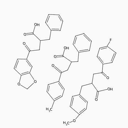 COc1ccc(CC(CC(=O)c2ccc(F)cc2)C(=O)O)cc1.Cc1ccc(C(=O)CC(Cc2ccccc2)C(=O)O)cc1.O=C(CC(Cc1ccccc1)C(=O)O)c1ccc2c(c1)OCO2